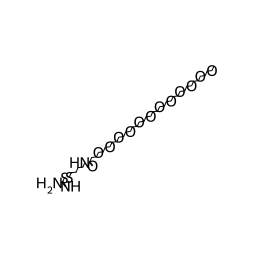 COCCOCCOCCOCCOCCOCCOCCOCCOCCOCCOCCOCCC(=O)NCCCCSSC(=N)N